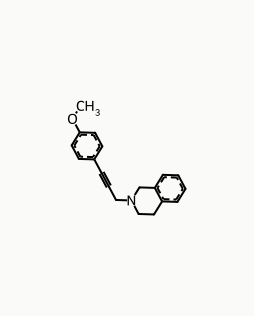 COc1ccc(C#CCN2CCc3ccccc3C2)cc1